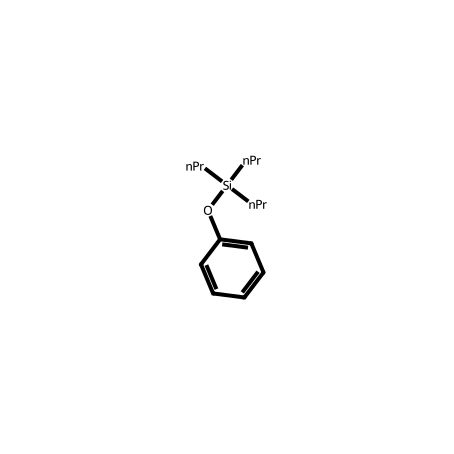 CCC[Si](CCC)(CCC)Oc1ccccc1